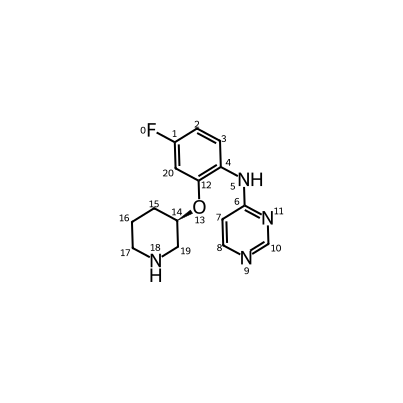 Fc1ccc(Nc2ccncn2)c(O[C@@H]2CCCNC2)c1